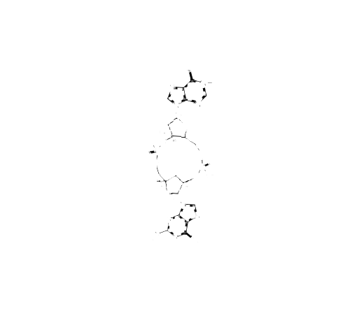 Nc1nc2c(ncn2[C@@H]2O[C@@H]3COP(=O)(O)O[C@@H]4C(COP(=O)(O)O[C@@H]2C3)O[C@@H](n2cnc3c(=O)[nH]cnc32)[C@H]4F)c(=O)[nH]1